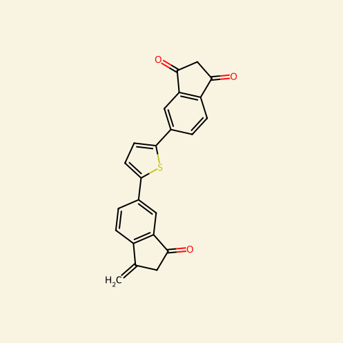 C=C1CC(=O)c2cc(-c3ccc(-c4ccc5c(c4)C(=O)CC5=O)s3)ccc21